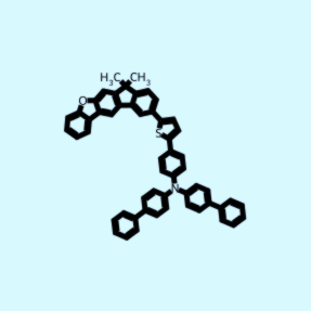 CC1(C)c2ccc(-c3ccc(-c4ccc(N(c5ccc(-c6ccccc6)cc5)c5ccc(-c6ccccc6)cc5)cc4)s3)cc2-c2cc3c(cc21)oc1ccccc13